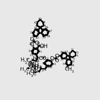 COc1cc(CCC[Si](C)(C)O[Si](C)(C)O[Si](C)(C)CCCc2ccc(OC(=O)Oc3ccc(C4(c5ccccc5)CCCCC4)cc3)c(CO)c2)ccc1OC(=O)Oc1ccc(C2(c3ccc(C)cc3)CCCCC2)cc1